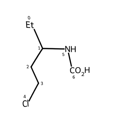 CCC(CCCl)NC(=O)O